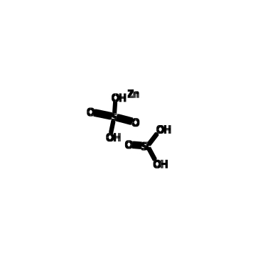 O=S(=O)(O)O.O=[Si](O)O.[Zn]